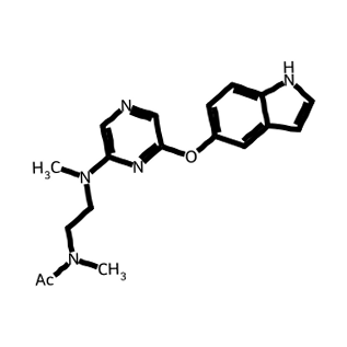 CC(=O)N(C)CCN(C)c1cncc(Oc2ccc3[nH]ccc3c2)n1